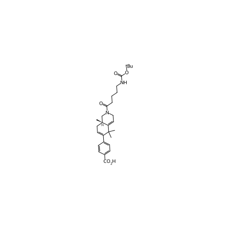 CC(C)(C)OC(=O)NCCCCC(=O)N1CC=C2C(C)(C)C(c3ccc(C(=O)O)cc3)=CC[C@]2(C)C1